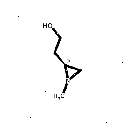 CN1C[C@@H]1CCO